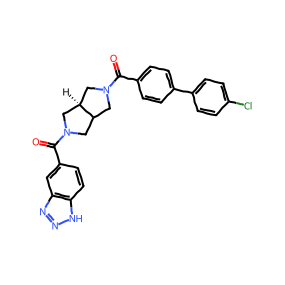 O=C(c1ccc(-c2ccc(Cl)cc2)cc1)N1CC2CN(C(=O)c3ccc4[nH]nnc4c3)C[C@H]2C1